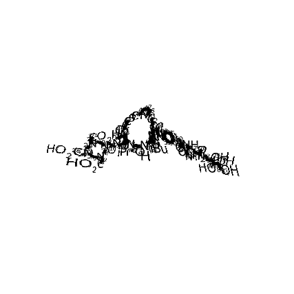 CC[C@H](C)[C@@H]1NC(=O)[C@H](CC(C)C)NC(=O)C2(CCN(C(=O)CN3CCN(CC(=O)O)CCN(CC(=O)O)CCN(CC(=O)O)CC3)CC2)NC(=O)CCSCc2cccc(n2)CSC[C@@H](C(=O)NC2CCN(CC(=O)N[C@H](CCC(=O)NCC[C@@H](O)[C@H](O)[C@H](O)CO)C(N)=O)CC2)NC1=O